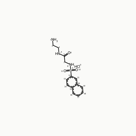 Cl.NCCNC(=O)CNS(=O)(=O)c1ccc2ccccc2c1